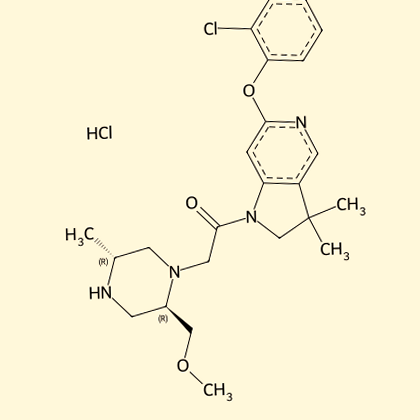 COC[C@H]1CN[C@H](C)CN1CC(=O)N1CC(C)(C)c2cnc(Oc3ccccc3Cl)cc21.Cl